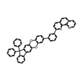 c1ccc(C2(c3ccccc3)c3ccccc3-c3cc4c(cc32)Oc2ccc(-c3cccc(-c5ccc6ccc7cccnc7c6n5)c3)cc2O4)cc1